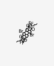 CCCCC(N1C(=O)c2ccc3c4c(Br)cc5c6c(ccc(c7c(Br)cc(c2c37)C1=O)c64)C(=O)N(C(CCCC)C(F)(F)F)C5=O)C(F)(F)F